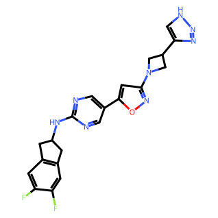 Fc1cc2c(cc1F)CC(Nc1ncc(-c3cc(N4CC(c5c[nH]nn5)C4)no3)cn1)C2